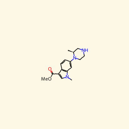 COC(=O)c1cn(C)c2cc(N3CCNC[C@@H]3C)ccc12